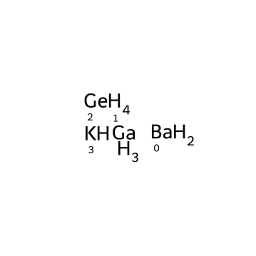 [BaH2].[GaH3].[GeH4].[KH]